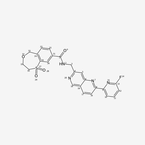 O=C(NCc1cc2nc(-c3cccc(F)n3)ccc2cn1)c1ccc2c(c1)S(=O)(=O)CCOC2